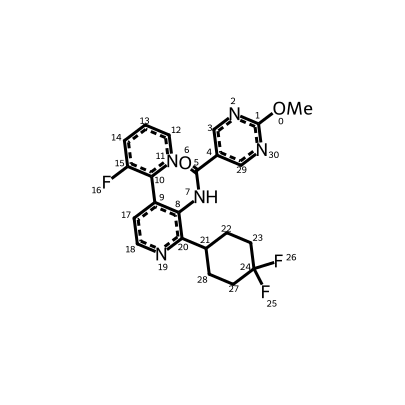 COc1ncc(C(=O)Nc2c(-c3ncccc3F)ccnc2C2CCC(F)(F)CC2)cn1